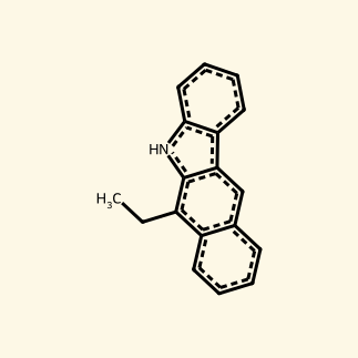 CCc1c2ccccc2cc2c1[nH]c1ccccc12